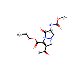 C=CCOC(=O)C1=C(C(=O)CC)CN2C[C@@H](NC(=O)OC(C)(C)C)C(=O)N12